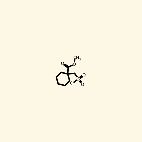 COC(=O)C1(CS(=O)(=O)Cl)CCCCC1